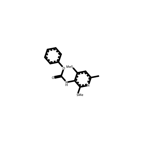 CSc1cc(C)nc(SC)c1NC(=O)Oc1ccccc1